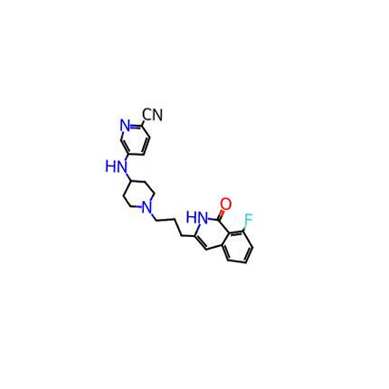 N#Cc1ccc(NC2CCN(CCCc3cc4cccc(F)c4c(=O)[nH]3)CC2)cn1